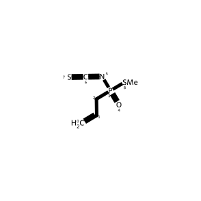 C=CCP(=O)(N=C=S)SC